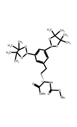 COC(=O)[C@H](CCc1cc(B2OC(C)(C)C(C)(C)O2)cc(B2OC(C)(C)C(C)(C)O2)c1)NC(=O)OC(C)(C)C